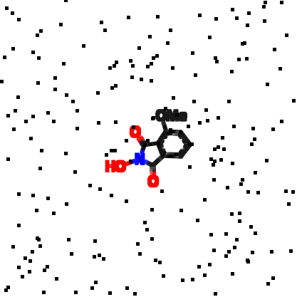 COc1cccc2c1C(=O)N(O)C2=O